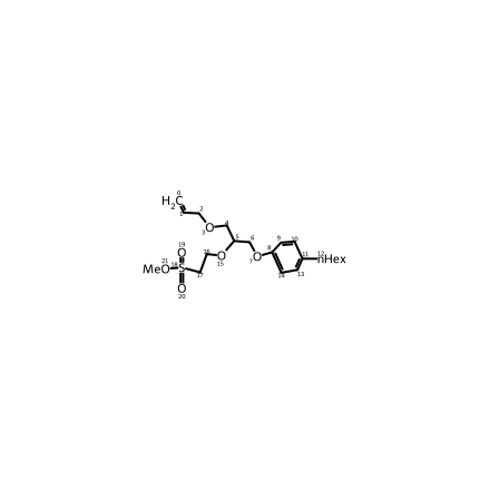 C=CCOCC(COc1ccc(CCCCCC)cc1)OCCS(=O)(=O)OC